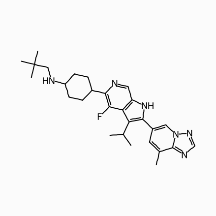 Cc1cc(-c2[nH]c3cnc(C4CCC(NCC(C)(C)C)CC4)c(F)c3c2C(C)C)cn2ncnc12